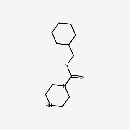 S=C(SCC1CCCCC1)N1CCNCC1